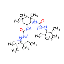 CCC(C)/C(=N\NC(=O)NC1CC(C)(C)CC(C)(CNC(=O)NN=C(C(C)C)C(C)C)C1)C(C)C